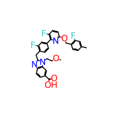 COCCn1c(Cc2ccc(-c3nc(OCc4ccc(C)cc4F)ccc3F)cc2F)nc2ccc(C(=O)O)cc21